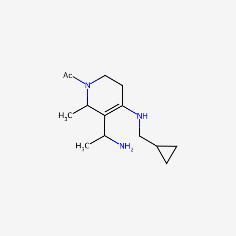 CC(=O)N1CCC(NCC2CC2)=C(C(C)N)C1C